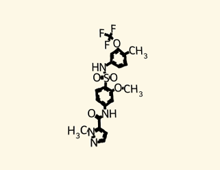 COc1cc(NC(=O)c2ccnn2C)ccc1S(=O)(=O)Nc1ccc(C)c(OC(F)(F)F)c1